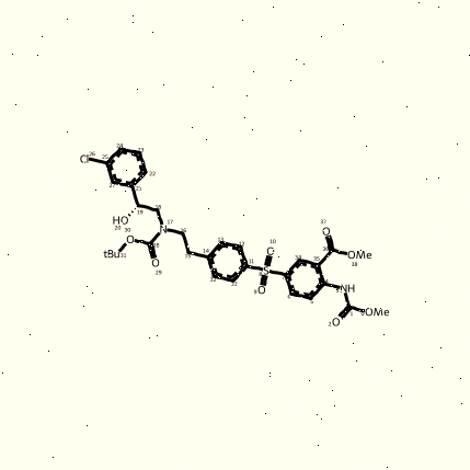 COC(=O)Nc1ccc(S(=O)(=O)c2ccc(CCN(C[C@H](O)c3cccc(Cl)c3)C(=O)OC(C)(C)C)cc2)cc1C(=O)OC